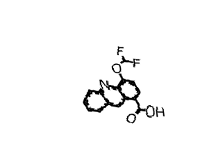 O=C(O)c1ccc(OC(F)F)c2nc3ccccc3cc12